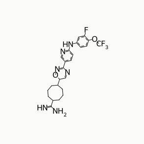 N=C(N)C1CCCC(C2C=NC(c3ccc(Nc4ccc(OC(F)(F)F)c(F)c4)nc3)=NO2)CCC1